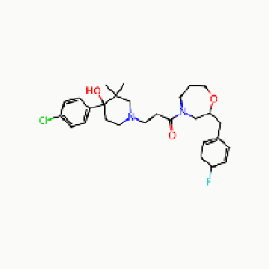 CC1(C)CN(CCC(=O)N2CCCOC(CC3=CCC(F)C=C3)C2)CCC1(O)c1ccc(Cl)cc1